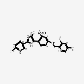 COc1cc(OCc2ncc(Cl)cc2F)ccc1-c1[nH]c(-c2ccc(Cl)nc2)nc1Cl